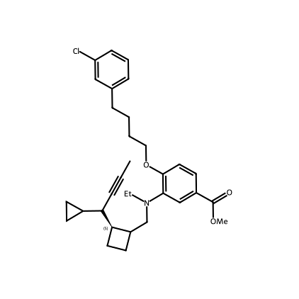 CC#CC(C1CC1)[C@@H]1CCC1CN(CC)c1cc(C(=O)OC)ccc1OCCCCc1cccc(Cl)c1